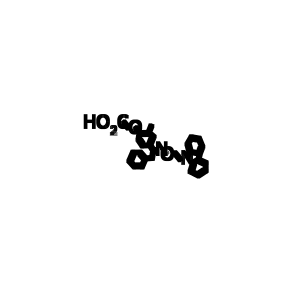 Cc1cc(/C(Cc2ccccc2)=N/OCCn2c3ccccc3c3ccccc32)ccc1OCC(=O)O